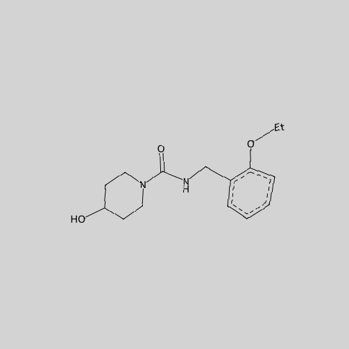 CCOc1ccccc1CNC(=O)N1CCC(O)CC1